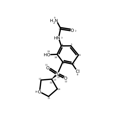 NC(=O)Nc1ccc(Cl)c(S(=O)(=O)[C@H]2CCOC2)c1O